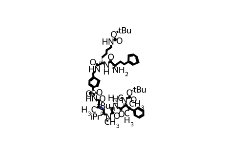 C/C(=C\[C@H](C(C)C)N(C)C(=O)[C@@H](NC(=O)[C@@H](N(C)C(=O)OC(C)(C)C)C(C)(C)c1ccccc1)C(C)(C)C)C(=O)NS(=O)(=O)c1ccc(CNC(=O)[C@H](CCCCNC(=O)OC(C)(C)C)NC(=O)[C@@H](N)CCc2ccccc2)cc1